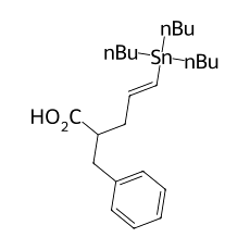 CCC[CH2][Sn]([CH]=CCC(Cc1ccccc1)C(=O)O)([CH2]CCC)[CH2]CCC